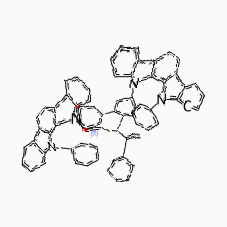 C=C(c1ccccc1)C(C/C=C/n1c2ccccc2c2ccc3c4ccccc4n(-c4ccccc4)c3c21)c1ccc(-n2c3ccccc3c3ccc4c5ccccc5n(-c5ccccc5)c4c32)cc1-c1ccccc1